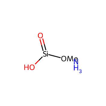 CO[Si](=O)O.N